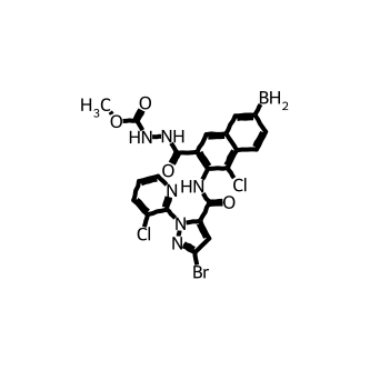 Bc1ccc2c(Cl)c(NC(=O)c3cc(Br)nn3-c3ncccc3Cl)c(C(=O)NNC(=O)OC)cc2c1